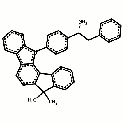 CC1(C)c2ccccc2-c2c1ccc1c3ccccc3n(-c3ccc([C@H](N)Cc4ccccc4)cc3)c21